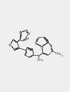 Cc1cc(N(C)c2ccc(-c3cocc3-c3nnn[nH]3)cc2)n2nccc2n1